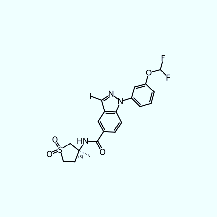 C[C@]1(NC(=O)c2ccc3c(c2)c(I)nn3-c2cccc(OC(F)F)c2)CCS(=O)(=O)C1